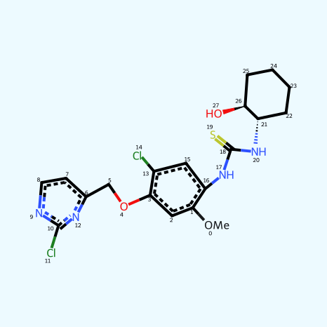 COc1cc(OCc2ccnc(Cl)n2)c(Cl)cc1NC(=S)N[C@H]1CCCC[C@@H]1O